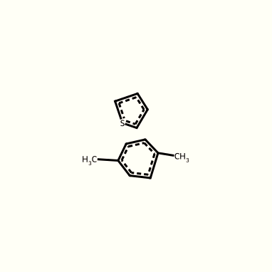 Cc1ccc(C)cc1.c1ccsc1